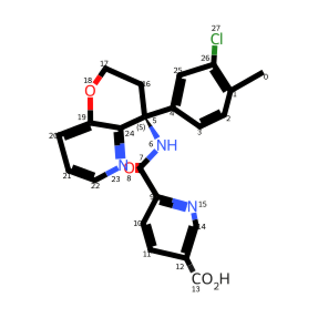 Cc1ccc([C@@]2(NC(=O)c3ccc(C(=O)O)cn3)CCOc3cccnc32)cc1Cl